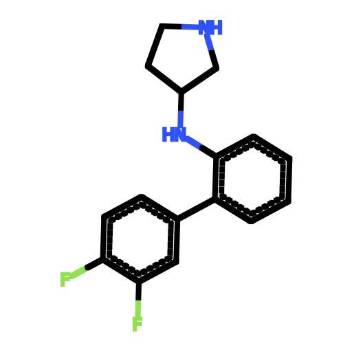 Fc1ccc(-c2ccccc2NC2CCNC2)cc1F